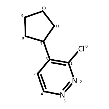 Clc1nnccc1C1CCCC1